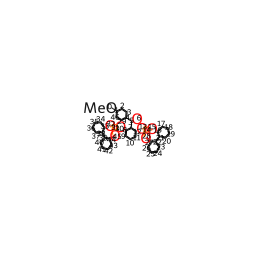 COc1ccc(C(=O)c2ccccc2Op2oc3ccccc3c3ccccc3o2)c(Op2oc3ccccc3c3ccccc3o2)c1